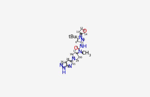 CN(C(=O)Nc1cc(C(C)(C)C)n([C@H]2CCOC2)n1)C1CCN(c2cnc3[nH]ncc3c2)CC1